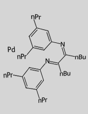 CCCCC(=Nc1cc(CCC)cc(CCC)c1)C(CCCC)=Nc1cc(CCC)cc(CCC)c1.[Pd]